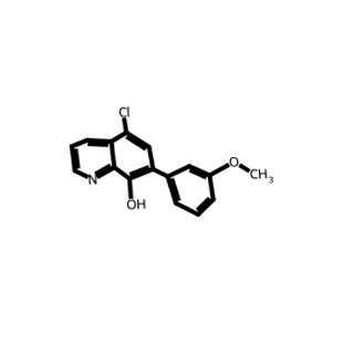 COc1cccc(-c2cc(Cl)c3cccnc3c2O)c1